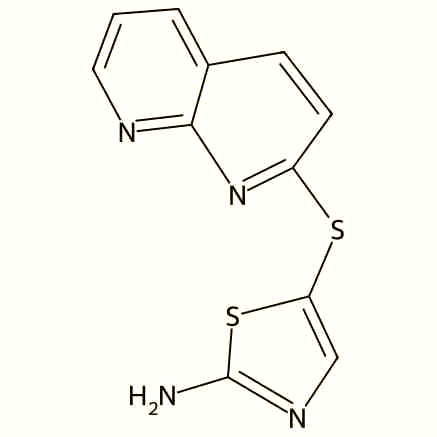 Nc1ncc(Sc2ccc3cccnc3n2)s1